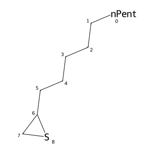 CCCCCCCCCCC1CS1